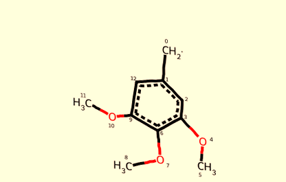 [CH2]c1cc(OC)c(OC)c(OC)c1